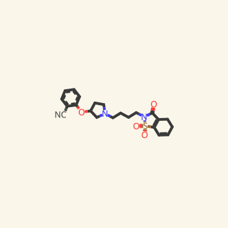 N#Cc1ccccc1OC1CCN(CCCCN2C(=O)C3=C(C=CCC3)S2(=O)=O)C1